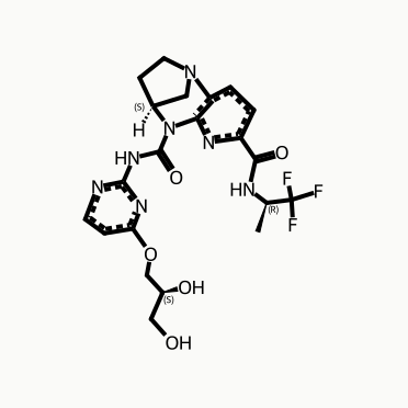 C[C@@H](NC(=O)c1ccc2c(n1)N(C(=O)Nc1nccc(OC[C@@H](O)CO)n1)[C@H]1CCN2C1)C(F)(F)F